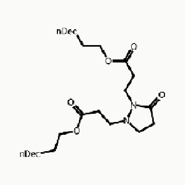 CCCCCCCCCCCCOC(=O)CCN1CCC(=O)N1CCC(=O)OCCCCCCCCCCCC